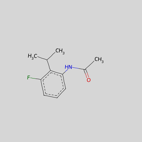 CC(=O)Nc1cccc(F)c1C(C)C